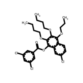 CCCCOc1c(OCCCC)c(OC(=O)c2cc(Cl)cc(Cl)c2)c2cc(Cl)ccc2c1OCCC